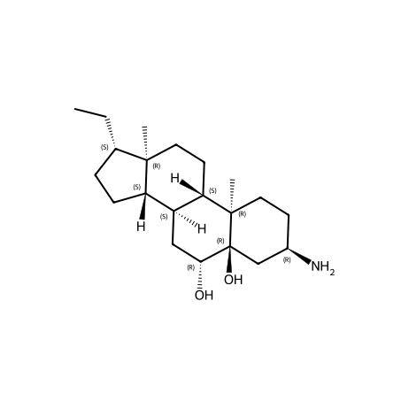 CC[C@H]1CC[C@H]2[C@@H]3C[C@@H](O)[C@@]4(O)C[C@H](N)CC[C@]4(C)[C@H]3CC[C@]12C